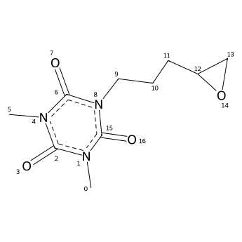 Cn1c(=O)n(C)c(=O)n(CCCC2CO2)c1=O